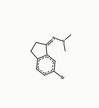 CN(C)/N=C1/CCc2ccc(Br)cc21